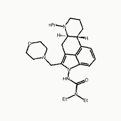 CCCN1CCC[C@@H]2c3cccc4c3c(c(CN3CCOCC3)n4NC(=O)N(CC)CC)C[C@H]21